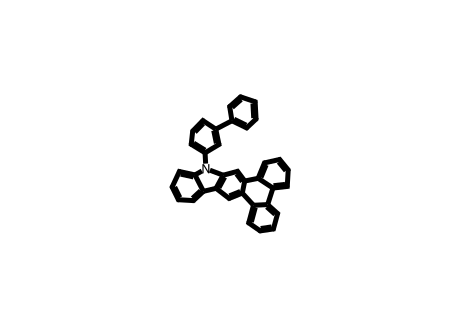 c1ccc(-c2cccc(-n3c4ccccc4c4cc5c6ccccc6c6ccccc6c5cc43)c2)cc1